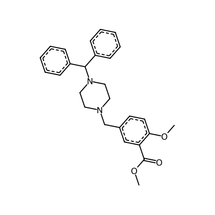 COC(=O)c1cc(CN2CCN(C(c3ccccc3)c3ccccc3)CC2)ccc1OC